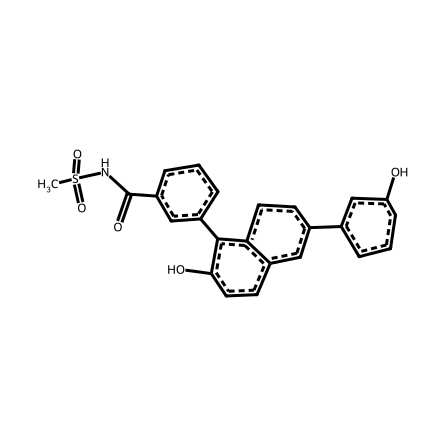 CS(=O)(=O)NC(=O)c1cccc(-c2c(O)ccc3cc(-c4cccc(O)c4)ccc23)c1